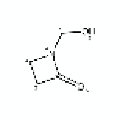 O=C1CCN1[CH]O